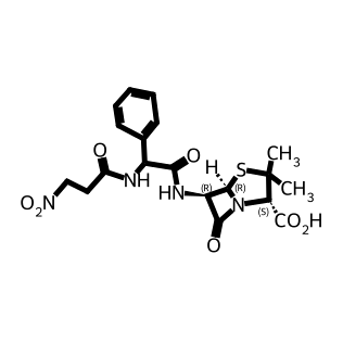 CC1(C)S[C@@H]2[C@H](NC(=O)C(NC(=O)CC[N+](=O)[O-])c3ccccc3)C(=O)N2[C@H]1C(=O)O